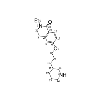 CCN1CCc2cc(OCCCC3CCCNC3)ccc2C1=O